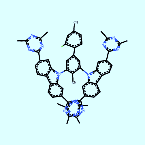 Cc1nc(C)nc(-c2ccc3c4ccc(-c5nc(C)nc(C)n5)cc4n(-c4cc(-c5ccc(C#N)cc5F)cc(-n5c6cc(-c7nc(C)nc(C)n7)ccc6c6ccc(-c7nc(C)nc(C)n7)cc65)c4C#N)c3c2)n1